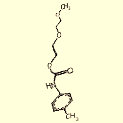 COCCOCCOC(=O)Nc1ccc(C)cc1